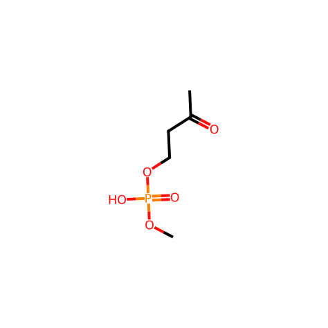 COP(=O)(O)OCCC(C)=O